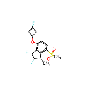 C[C@H]1c2c(S(C)(=O)=O)ccc(OC3CC(F)C3)c2[C@@H](F)[C@H]1F